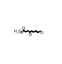 COC(=O)CCC(=O)/C=C/C=C/C=O